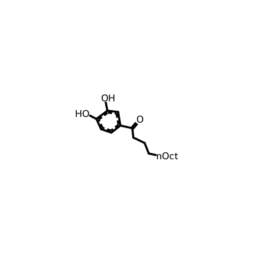 CCCCCCCCCCCC(=O)c1ccc(O)c(O)c1